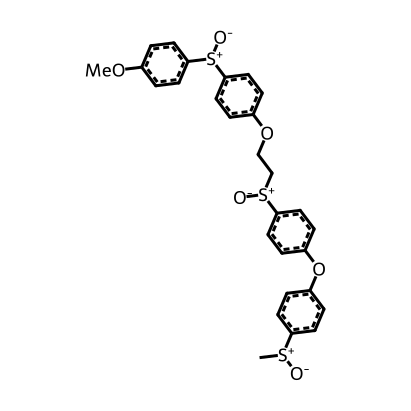 COc1ccc([S+]([O-])c2ccc(OCC[S+]([O-])c3ccc(Oc4ccc([S+](C)[O-])cc4)cc3)cc2)cc1